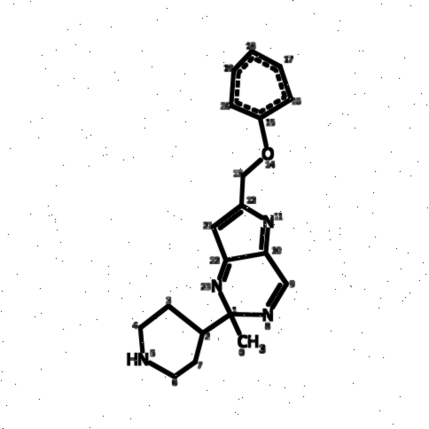 CC1(C2CCNCC2)N=CC2=NC(COc3ccccc3)=CC2=N1